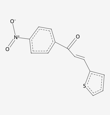 O=C(C=Cc1cccs1)c1ccc([N+](=O)[O-])cc1